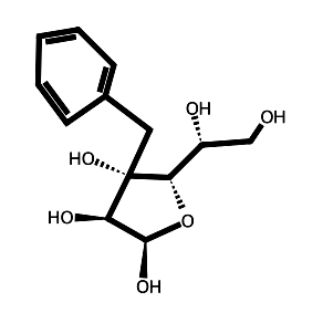 OC[C@@H](O)[C@@H]1O[C@@H](O)[C@@H](O)[C@@]1(O)Cc1ccccc1